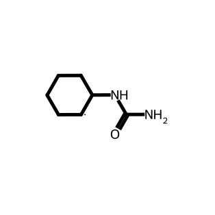 NC(=O)NC1[CH]CCCC1